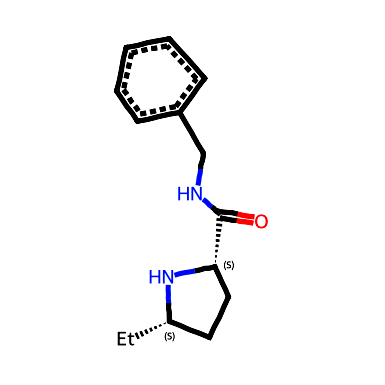 CC[C@H]1CC[C@@H](C(=O)NCc2ccccc2)N1